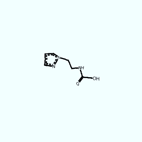 O=C(O)NCCn1cccn1